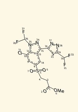 COC(=O)CCS(=O)(=O)c1cc(Cl)c2c(c1)c(-c1nnc(C(F)F)s1)nn2C(F)F